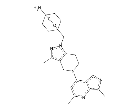 Cc1cc(N2CCc3c(c(C)nn3CC34CCC(N)(CC3)CO4)C2)c2cnn(C)c2n1